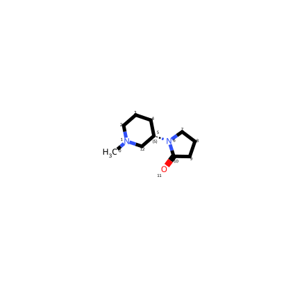 CN1CCC[C@H](N2CCCC2=O)C1